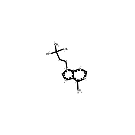 CCCC(C)(C)CCn1cnc2c(N)ncnc21